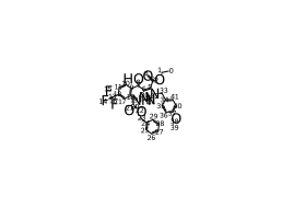 CCOC(=O)c1c(C(O)c2ccc(C(F)(F)F)cc2NC(=O)OCc2ccccc2)nnn1Cc1ccc(OC)cc1